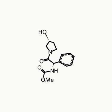 COC(=O)N[C@H](C(=O)N1CC[C@@H](O)C1)c1ccccc1